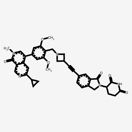 COc1cc(-c2cn(C)c(=O)c3cnc(C4CC4)cc23)cc(OC)c1CN1CC(C#Cc2ccc3c(c2)C(=O)N(C2CCC(=O)NC2=O)C3)C1